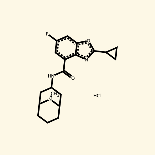 CN1C2CCCC1CC(NC(=O)c1cc(F)cc3oc(C4CC4)nc13)C2.Cl